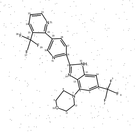 FC(F)(F)c1cc(N2CCOCC2)c2nc(-c3ccc(-c4ncccc4C(F)(F)F)cn3)[nH]c2c1